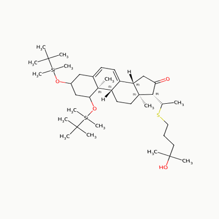 CC(SCCCC(C)(C)O)[C@H]1C(=O)C[C@H]2C3=CC=C4CC(O[Si](C)(C)C(C)(C)C)CC(O[Si](C)(C)C(C)(C)C)[C@]4(C)[C@H]3CC[C@]12C